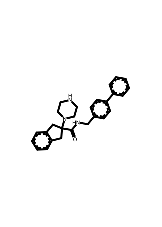 O=C(NCc1ccc(-c2ccccc2)cc1)C1(N2CCNCC2)Cc2ccccc2C1